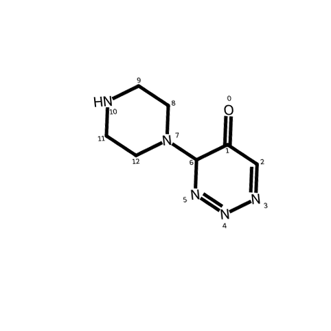 O=C1C=NN=NC1N1CCNCC1